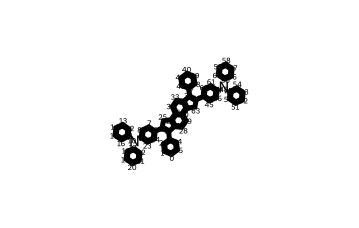 c1ccc(C2=C(c3ccc(N(c4ccccc4)c4ccccc4)cc3)Cc3c2ccc2c4c(ccc32)C(c2ccccc2)=C(c2ccc(N(c3ccccc3)c3ccccc3)cc2)C4)cc1